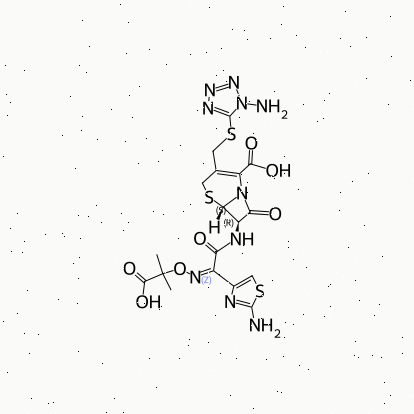 CC(C)(O/N=C(\C(=O)N[C@@H]1C(=O)N2C(C(=O)O)=C(CSc3nnnn3N)CS[C@@H]12)c1csc(N)n1)C(=O)O